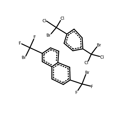 ClC(Cl)(Br)c1ccc(C(Cl)(Cl)Br)cc1.FC(F)(Br)c1ccc2cc(C(F)(F)Br)ccc2c1